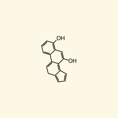 Oc1cc2c(O)cccc2c2c1=C1C=CC=C1CC=2